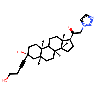 C[C@]12CCC3[C@H]4CC[C@](O)(C#CCCO)C[C@H]4CC[C@H]3[C@@H]1CC[C@@H]2C(=O)Cn1ccnn1